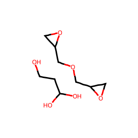 C(OCC1CO1)C1CO1.OCCC(O)O